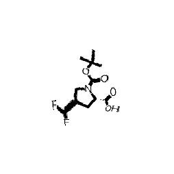 CC(C)(C)OC(=O)N1CC(=C(F)F)C[C@H]1C(=O)O